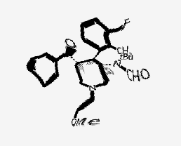 COCCN1C[C@H](C(=O)c2ccccc2)[C@@H](c2cccc(F)c2C)[C@H](N(C=O)C(C)(C)C)C1